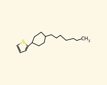 CCCCCCCC1CCC(c2cccs2)CC1